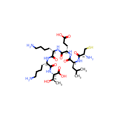 CC(C)C[C@H](NC(=O)[C@@H](N)CS)C(=O)N[C@@H](CCC(=O)O)C(=O)N[C@@H](CCCCN)C(=O)N[C@@H](CCCCN)C(=O)N[C@H](C(=O)O)[C@@H](C)O